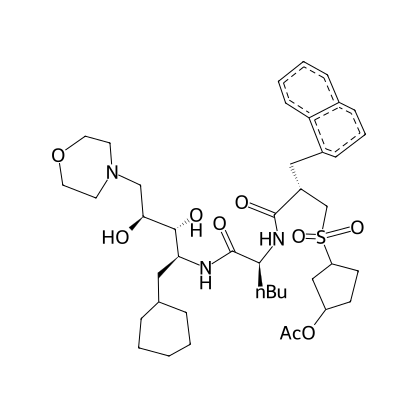 CCCC[C@H](NC(=O)[C@H](Cc1cccc2ccccc12)CS(=O)(=O)C1CCC(OC(C)=O)C1)C(=O)N[C@@H](CC1CCCCC1)[C@@H](O)[C@@H](O)CN1CCOCC1